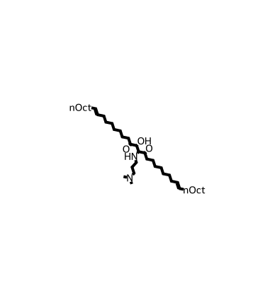 CCCCCCCCC=CCCCCCCCC(=O)C(O)C(NCCCN(C)C)C(=O)CCCCCCCC=CCCCCCCCC